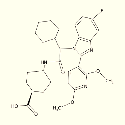 COc1ccc(-c2nc3cc(F)ccc3n2C(C(=O)N[C@H]2CC[C@H](C(=O)O)CC2)C2CCCCC2)c(OC)n1